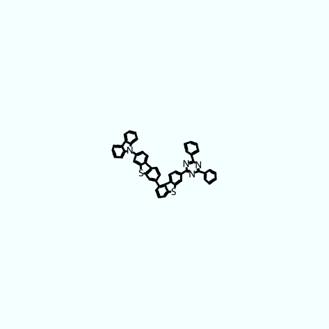 c1ccc(-c2nc(-c3ccccc3)nc(-c3ccc4c(c3)sc3cccc(-c5ccc6c(c5)sc5cc(-n7c8ccccc8c8ccccc87)ccc56)c34)n2)cc1